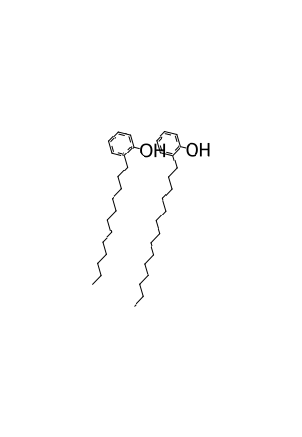 CCCCCCCCCCCCCCc1ccccc1O.CCCCCCCCCCCCc1ccccc1O